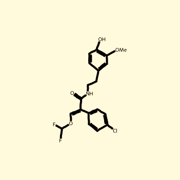 COc1cc(CCNC(=O)C(=COC(F)F)c2ccc(Cl)cc2)ccc1O